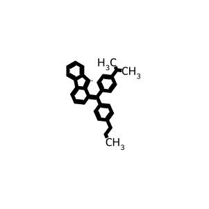 CCCc1ccc(C(c2ccc(C(C)C)cc2)=c2cccc3c2=[C]c2ccccc2-3)cc1